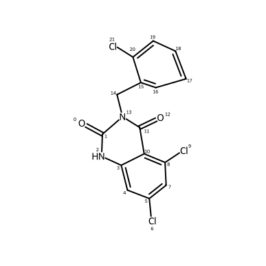 O=c1[nH]c2cc(Cl)cc(Cl)c2c(=O)n1Cc1ccccc1Cl